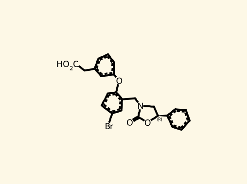 O=C(O)Cc1cccc(Oc2ccc(Br)cc2CN2C[C@@H](c3ccccc3)OC2=O)c1